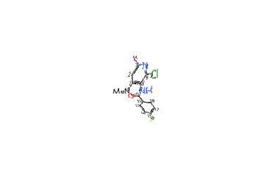 CNc1cc(I)nc(Cl)c1NC(=O)c1ccc(F)cc1